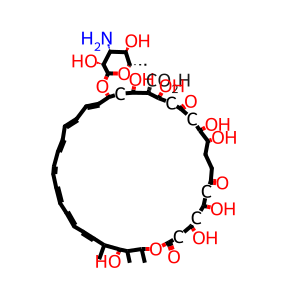 CC1/C=C/C=C/C=C/C=C/C=C/C=C/C=C/C(OC2O[C@@H](C)[C@H](O)[C@@H](N)[C@H]2O)CC(O)C(C(=O)O)C(O)CC(=O)CC(O)C(O)CCC(=O)CC(O)CC(O)CC(=O)OC(C)C(C)C1O